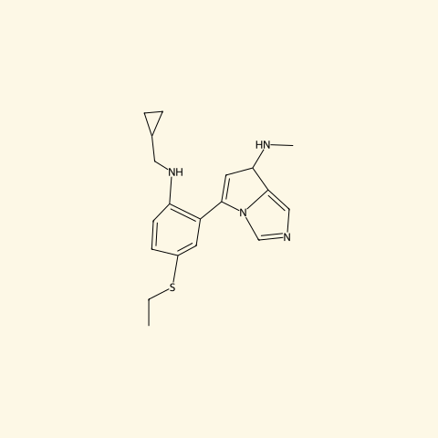 CCSc1ccc(NCC2CC2)c(C2=CC(NC)c3cncn32)c1